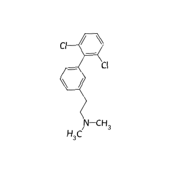 CN(C)CCc1cccc(-c2c(Cl)cccc2Cl)c1